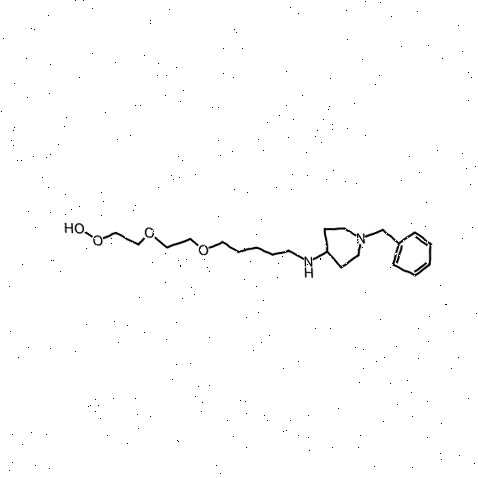 OOCCOCCOCCCCCNC1CCN(Cc2ccccc2)CC1